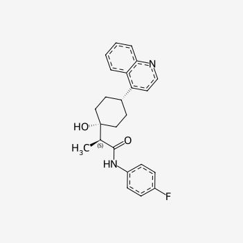 C[C@H](C(=O)Nc1ccc(F)cc1)[C@]1(O)CC[C@@H](c2ccnc3ccccc32)CC1